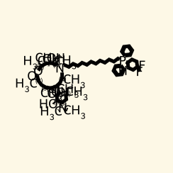 CC[C@H]1OC(=O)[C@H](C)C[C@H](C)[C@@H](O[C@@H]2O[C@H](C)C[C@H](N(C)C)[C@H]2O)[C@](C)(O)C[C@@H](C)CN(CCCCCCCCCCCCC[PH](c2ccccc2)(c2ccccc2)C2CCC(F)(F)CC2)[C@H](C)[C@@H](O)[C@]1(C)O